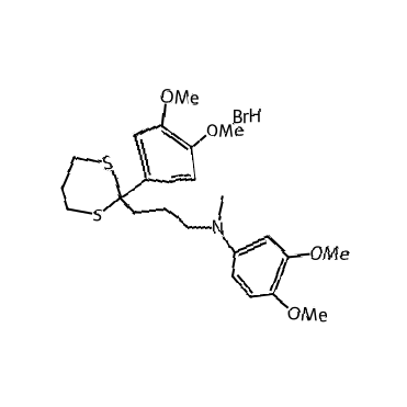 Br.COc1ccc(N(C)CCCC2(c3ccc(OC)c(OC)c3)SCCCS2)cc1OC